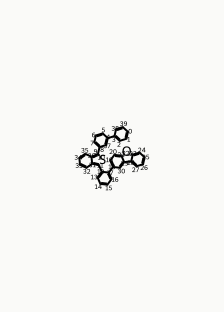 c1ccc(-c2cccc(-c3sc(-c4ccccc4-c4ccc5oc6ccccc6c5c4)c4ccccc34)c2)cc1